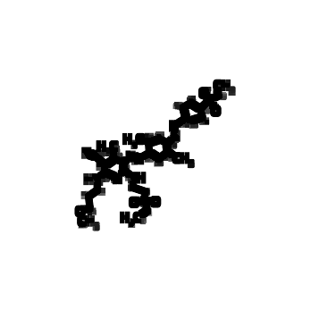 C=CS(=O)(=O)CCNc1nc(NCCCOC)c(C#N)c(C)c1/N=N/c1cc(C)c(/N=N/c2ccc(S(=O)(=O)C=C)cc2)cc1C